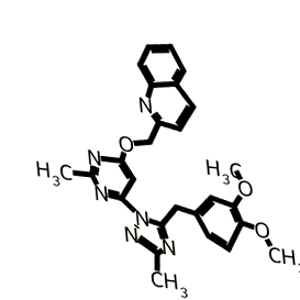 COc1ccc(Cc2nc(C)nn2-c2cc(OCc3ccc4ccccc4n3)nc(C)n2)cc1OC